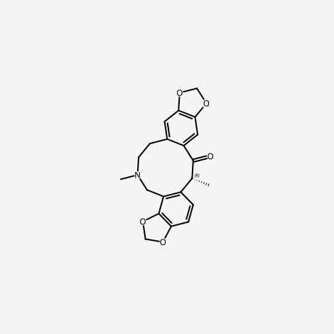 C[C@H]1C(=O)c2cc3c(cc2CCN(C)Cc2c1ccc1c2OCO1)OCO3